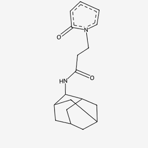 O=C(CCn1ccccc1=O)NC1C2CC3CC(C2)CC1C3